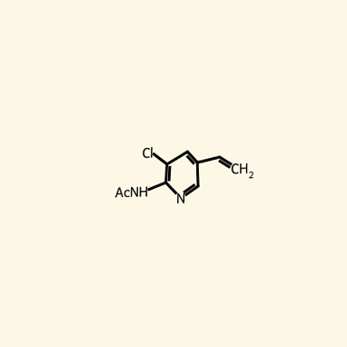 C=Cc1cnc(NC(C)=O)c(Cl)c1